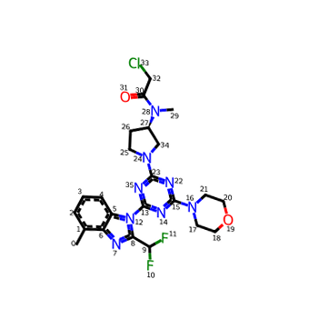 Cc1cccc2c1nc(C(F)F)n2-c1nc(N2CCOCC2)nc(N2CC[C@@H](N(C)C(=O)CCl)C2)n1